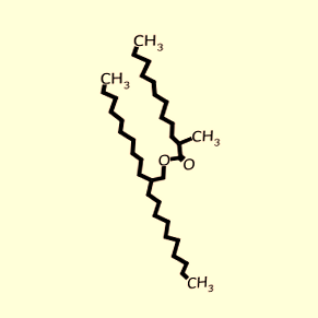 CCCCCCCCCCC(CCCCCCCCCC)COC(=O)C(C)CCCCCCCCCC